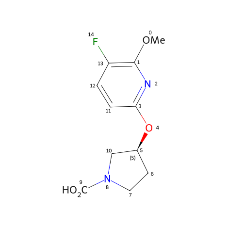 COc1nc(O[C@H]2CCN(C(=O)O)C2)ccc1F